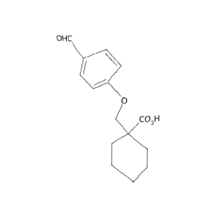 O=Cc1ccc(OCC2(C(=O)O)CCCCC2)cc1